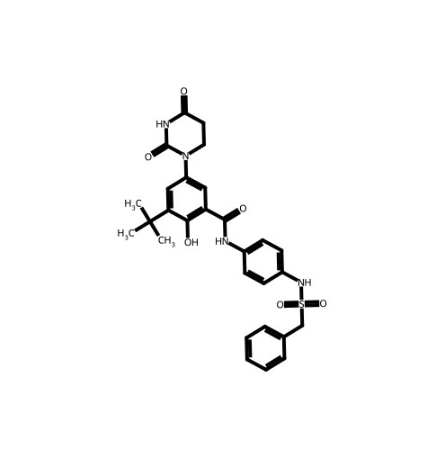 CC(C)(C)c1cc(N2CCC(=O)NC2=O)cc(C(=O)Nc2ccc(NS(=O)(=O)Cc3ccccc3)cc2)c1O